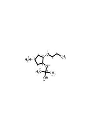 CCCO[C@H]1C[C@@H](N)C[C@@H]1OC(C)(C)O